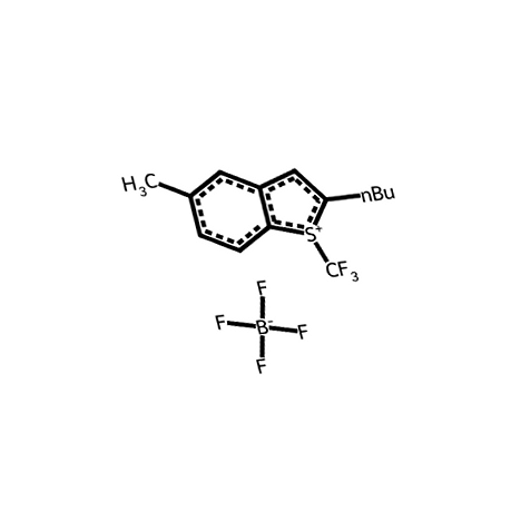 CCCCc1cc2cc(C)ccc2[s+]1C(F)(F)F.F[B-](F)(F)F